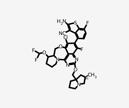 C[C@H]1CN2CCCC2(COc2nc3c4c(c(Cl)c(-c5ccc(F)c6sc(N)c(C#N)c56)c(F)c4n2)OCC2C(OC(F)F)CCCN32)C1